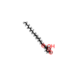 CCCCCCCCCCCCCCCCCCOCCC1(CO)CCC(=O)O1